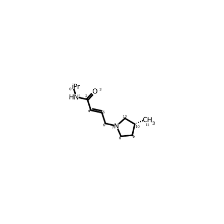 CC(C)NC(=O)/C=C/CN1CC[C@@H](C)C1